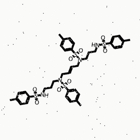 Cc1ccc(S(=O)(=O)NCCCN(CC=CCN(CCCNS(=O)(=O)c2ccc(C)cc2)S(=O)(=O)c2ccc(C)cc2)S(=O)(=O)c2ccc(C)cc2)cc1